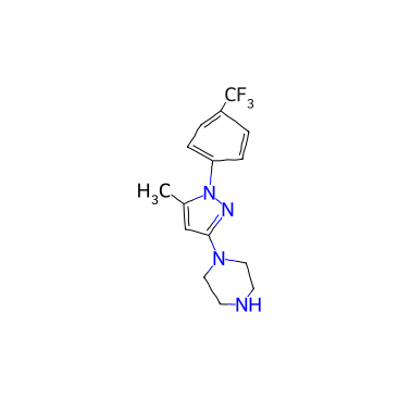 Cc1cc(N2CCNCC2)nn1-c1ccc(C(F)(F)F)cc1